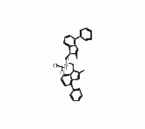 CC1=Cc2c(-c3ccccc3)cccc2C1C[SiH](CC1C(C)=Cc2c(-c3ccccc3)cccc21)[Hf]([Cl])[Cl]